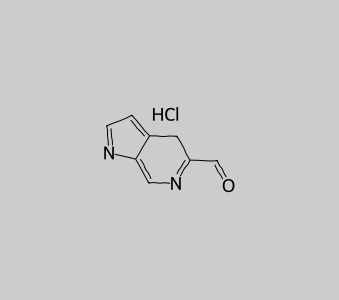 Cl.O=CC1=NC=C2N=CC=C2C1